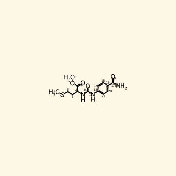 COC(=O)C(CCSC)NC(=O)Nc1ccc(C(N)=O)cc1